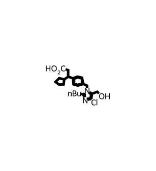 CCCCc1nc(Cl)c(CO)n1Cc1ccc(C(CC(=O)O)C2CCCC2)cc1